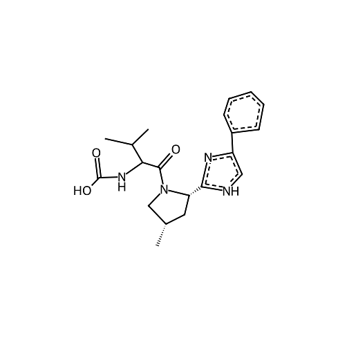 CC(C)C(NC(=O)O)C(=O)N1C[C@@H](C)C[C@H]1c1nc(-c2ccccc2)c[nH]1